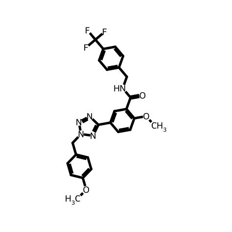 COc1ccc(Cn2nnc(-c3ccc(OC)c(C(=O)NCc4ccc(C(F)(F)F)cc4)c3)n2)cc1